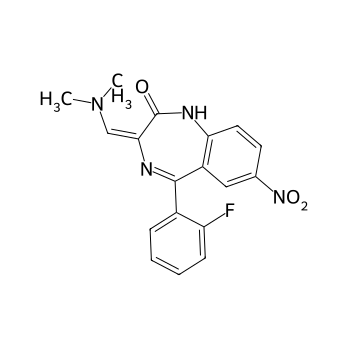 CN(C)C=C1N=C(c2ccccc2F)c2cc([N+](=O)[O-])ccc2NC1=O